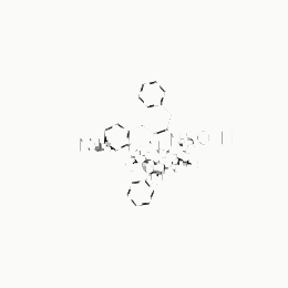 O=S(=O)(O)N1C(Cc2ccccc2)=C(Cc2ccccc2)N(S(=O)(=O)Oc2ccccc2)C1(S(=O)(=O)[O-])S(=O)(=O)[O-].[Na+].[Na+]